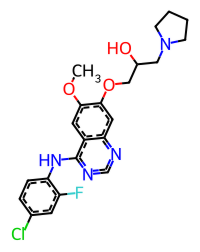 COc1cc2c(Nc3ccc(Cl)cc3F)ncnc2cc1OCC(O)CN1CCCC1